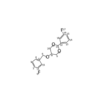 Fc1cccc(COC2COC(c3cccc(F)c3)OC2)c1